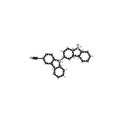 N#Cc1ccc2c(c1)c1ccccc1n2-c1ccc2[nH]c3ccccc3c2c1